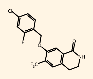 O=C1NCCc2cc(C(F)(F)F)c(OCc3ccc(Cl)cc3F)cc21